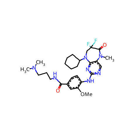 COc1cc(C(=O)NCCCN(C)C)ccc1Nc1ncc2c(n1)N(C1CCCCC1)CC(F)(F)C(=O)N2C